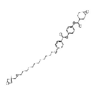 CC1(COCCCCCCCCCCCCOc2ccc(C(=O)Oc3ccc(OC(=O)C4CCC5OC5C4)cc3)cc2)COC1